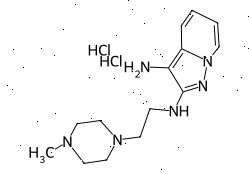 CN1CCN(CCNc2nn3ccccc3c2N)CC1.Cl.Cl